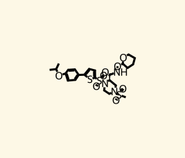 CC(C)Oc1ccc(-c2ccc(S(=O)(=O)N3CCN(S(C)(=O)=O)C[C@@H]3C(=O)NOC3CCCCO3)s2)cc1